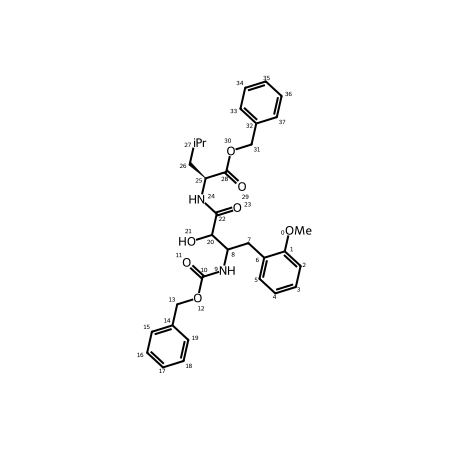 COc1ccccc1CC(NC(=O)OCc1ccccc1)C(O)C(=O)N[C@@H](CC(C)C)C(=O)OCc1ccccc1